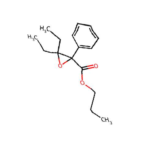 CCCOC(=O)C1(c2ccccc2)OC1(CC)CC